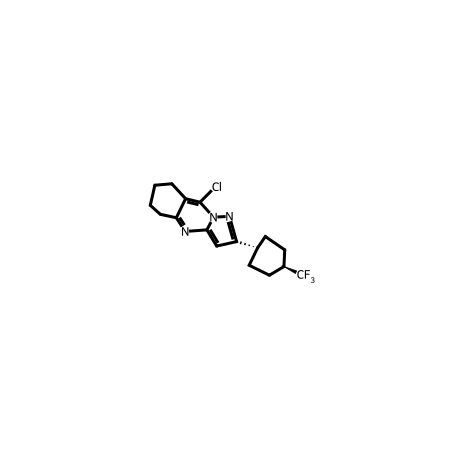 FC(F)(F)[C@H]1CC[C@H](c2cc3nc4c(c(Cl)n3n2)CCCC4)CC1